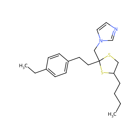 CCCCC1CSC(CCc2ccc(CC)cc2)(Cn2ccnc2)S1